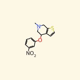 CN1Cc2sccc2C(Oc2cccc([N+](=O)[O-])c2)C1